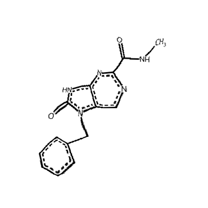 CNC(=O)c1ncc2c(n1)[nH]c(=O)n2Cc1ccccc1